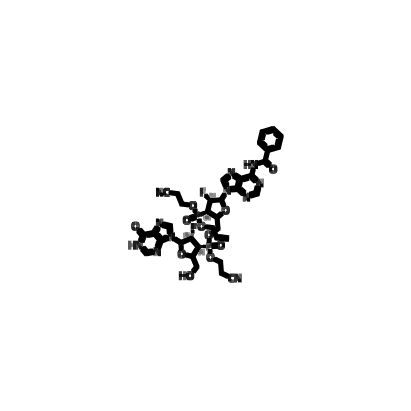 C=CCOP(=O)(OCCC#N)[C@@H]1C(COP(=O)(OCCC#N)[C@@H]2C(CO)OC(n3cnc4c(=O)[nH]cnc43)[C@@H]2F)OC(n2cnc3c(NC(=O)c4ccccc4)ncnc32)[C@@H]1F